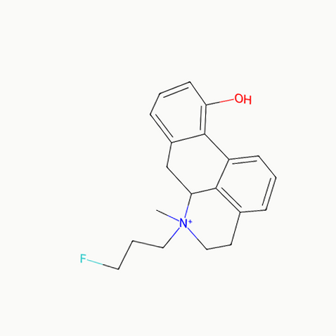 C[N+]1(CCCF)CCc2cccc3c2C1Cc1cccc(O)c1-3